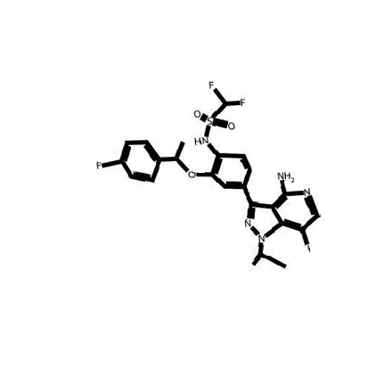 CC(Oc1cc(-c2nn(C(C)C)c3c(I)cnc(N)c23)ccc1NS(=O)(=O)C(F)F)c1ccc(F)cc1